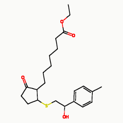 CCOC(=O)CCCCCCC1C(=O)CCC1SCC(O)c1ccc(C)cc1